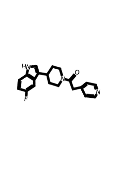 O=C(Cc1ccncc1)N1CCC(c2c[nH]c3ccc(F)cc23)CC1